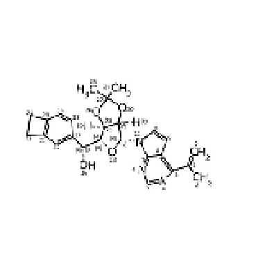 C=C(C)c1ncnc2c1ccn2[C@@H]1O[C@H]([C@H](O)c2ccc3c(c2)CC3)[C@H]2OC(C)(C)O[C@H]21